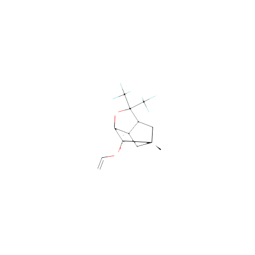 C=COC1C2OC(C(F)(F)F)(C(F)(F)F)C3C[C@@H]1C[C@@H]23